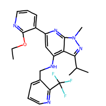 CCOc1ncccc1-c1cc(NCc2cccnc2C(F)(F)F)c2c(C(C)C)nn(C)c2n1